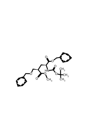 COC(=O)[C@@H](COCc1ccccc1)C[C@H](NC(=O)OC(C)(C)C)C(=O)OCc1ccccc1